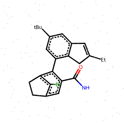 CCC1=Cc2cc(C(C)(C)C)cc(-c3c(C([NH])=O)cc4c(Br)c3CC4)c2C1